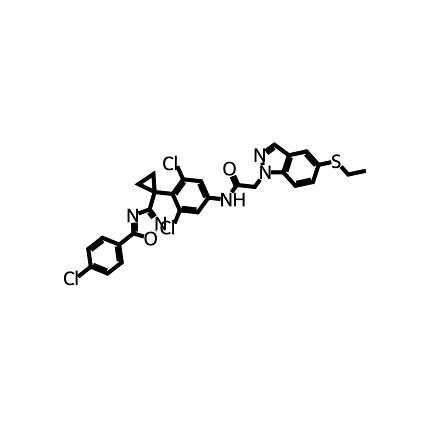 CCSc1ccc2c(cnn2CC(=O)Nc2cc(Cl)c(C3(c4noc(-c5ccc(Cl)cc5)n4)CC3)c(Cl)c2)c1